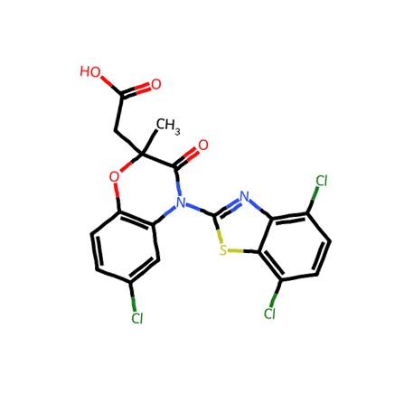 CC1(CC(=O)O)Oc2ccc(Cl)cc2N(c2nc3c(Cl)ccc(Cl)c3s2)C1=O